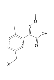 CON=C(C(=O)O)c1cc(CBr)ccc1C